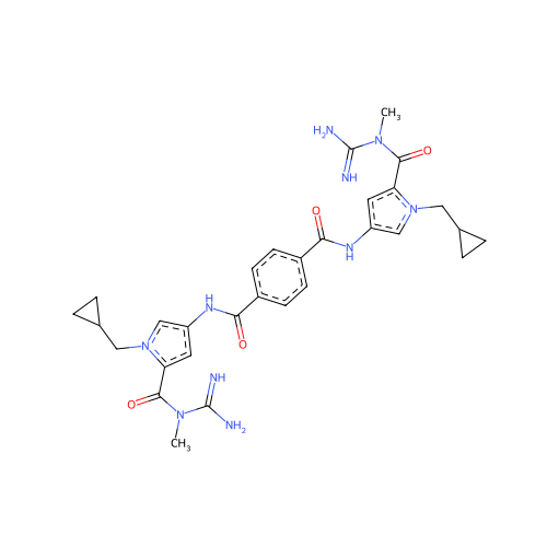 CN(C(=N)N)C(=O)c1cc(NC(=O)c2ccc(C(=O)Nc3cc(C(=O)N(C)C(=N)N)n(CC4CC4)c3)cc2)cn1CC1CC1